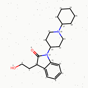 O=C1C(CCO)c2ccccc2N1C1CCN(C2CCCCC2)CC1